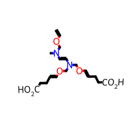 C=COCN(C)C=CN(COC=CCCC(=O)O)COC=CCCC(=O)O